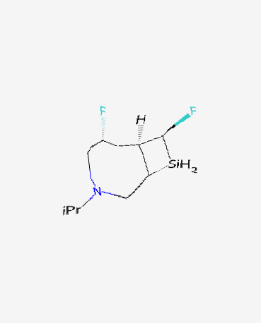 CC(C)N1CC2[SiH2][C@H](F)[C@@H]2[C@@H](F)C1